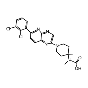 CN(C(=O)O)C1(C)CCN(c2cnc3nc(-c4cccc(Cl)c4Cl)ccc3n2)CC1